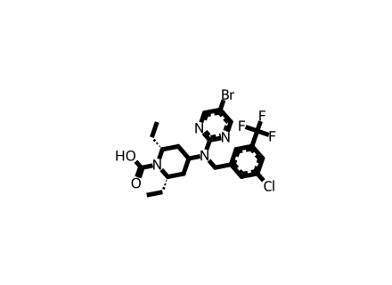 CC[C@@H]1CC(N(Cc2cc(Cl)cc(C(F)(F)F)c2)c2ncc(Br)cn2)C[C@H](CC)N1C(=O)O